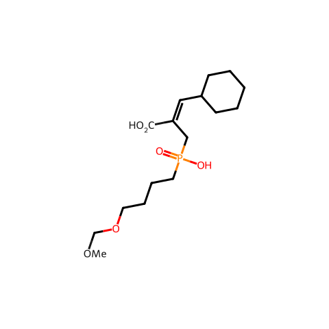 COCOCCCCP(=O)(O)C/C(=C\C1CCCCC1)C(=O)O